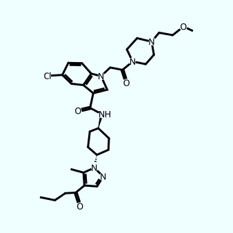 CCCC(=O)c1cnn([C@H]2CC[C@H](NC(=O)c3cn(CC(=O)N4CCN(CCOC)CC4)c4ccc(Cl)cc34)CC2)c1C